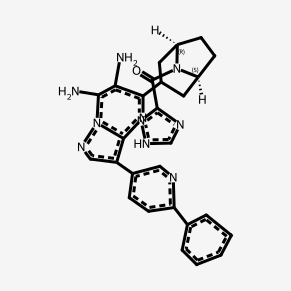 Nc1c(C2C[C@H]3CC[C@@H](C2)N3C(=O)c2nc[nH]n2)nc2c(-c3ccc(-c4ccccc4)nc3)cnn2c1N